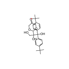 CC(C)(C)c1ccc(C(O)(c2ccc(C(C)(C)C)cc2)C(O)(CO)C2OCC(=O)CO2)cc1